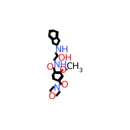 CCOc1cc(C(=O)N2CCOCC2)ccc1C(=O)NCC(O)CNC1Cc2ccccc2C1